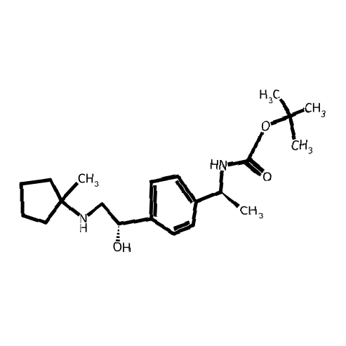 C[C@H](NC(=O)OC(C)(C)C)c1ccc([C@H](O)CNC2(C)CCCC2)cc1